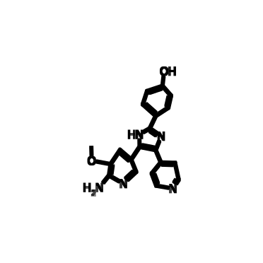 COc1cc(-c2[nH]c(-c3ccc(O)cc3)nc2-c2ccncc2)cnc1N